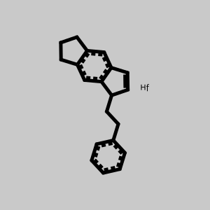 C1=Cc2cc3c(cc2[C]1CCc1ccccc1)CCC3.[Hf]